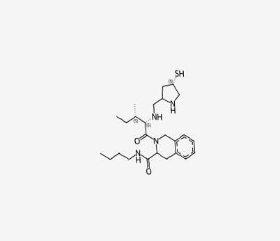 CCCCNC(=O)C1Cc2ccccc2CN1C(=O)[C@@H](NCC1C[C@H](S)CN1)[C@@H](C)CC